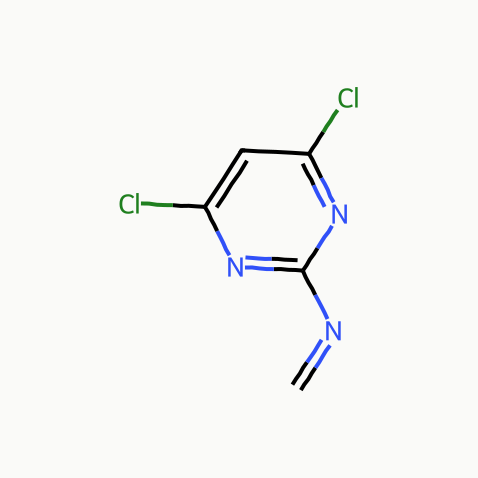 C=Nc1nc(Cl)cc(Cl)n1